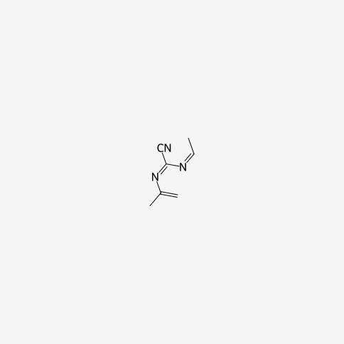 C=C(C)/N=C(C#N)\N=C/C